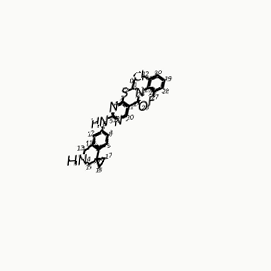 CC1Sc2nc(Nc3ccc4c(c3)CNCC43CC3)ncc2C(=O)N1c1c(F)cccc1Cl